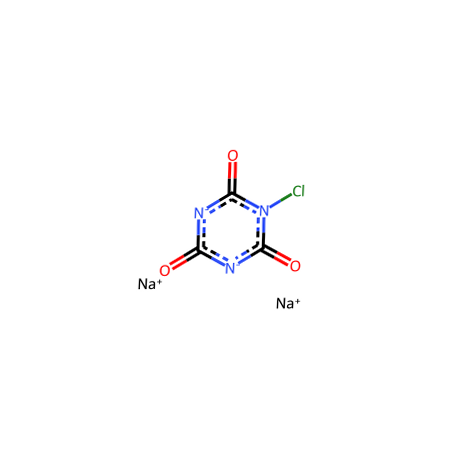 O=c1[n-]c(=O)n(Cl)c(=O)[n-]1.[Na+].[Na+]